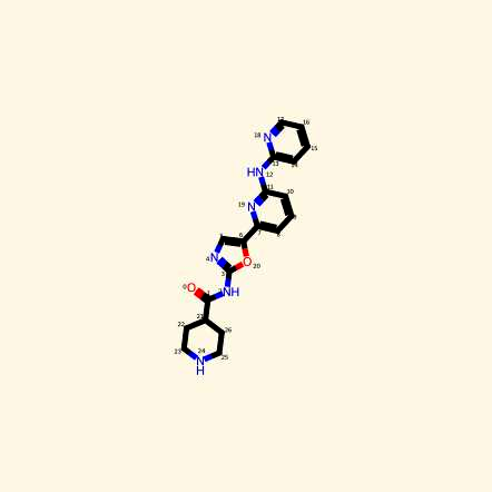 O=C(Nc1ncc(-c2cccc(Nc3ccccn3)n2)o1)C1CCNCC1